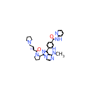 CNc1nccn2c(C3CCCN3C(=O)/C=C/CN3CCCC3)nc(-c3ccc(C(=O)Nc4ccccn4)cc3)c12